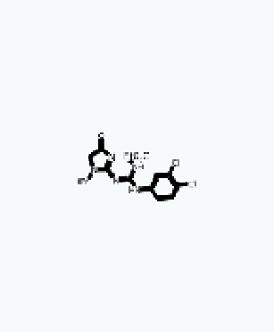 CCOC(=O)N/C(=N\C1=NC(=O)CN1C(C)C)Nc1ccc(Cl)c(Cl)c1